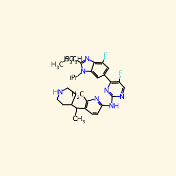 CS(=O)(=O)O.Cc1nc(Nc2ncc(F)c(-c3cc(F)c4nc(C)n(C(C)C)c4c3)n2)ccc1C(C)C1CCNCC1